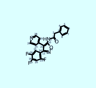 O=C(Cc1ccccc1)Nc1onc(-c2cc(F)c(F)cc2F)c1-c1ccncc1